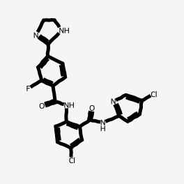 O=C(Nc1ccc(Cl)cc1C(=O)Nc1ccc(Cl)cn1)c1ccc(C2=NCCN2)cc1F